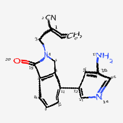 C=C(C#N)CN1Cc2c(cccc2-c2cncc(N)c2)C1=O